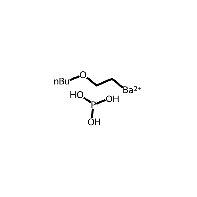 CCCCOC[CH2][Ba+2].OP(O)O